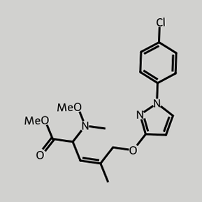 COC(=O)C(/C=C(/C)COc1ccn(-c2ccc(Cl)cc2)n1)N(C)OC